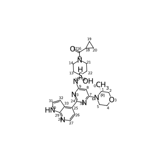 C[C@@H]1COCCN1c1cc(N=[SH]2(O)CCN(C(=O)C3CC3)CC2)nc(-c2ccnc3[nH]ccc23)n1